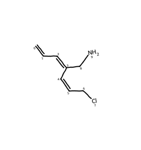 C=C/C=C(\C=C/CCl)CN